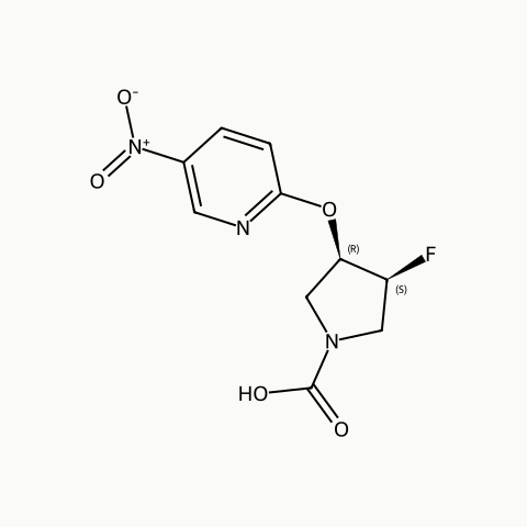 O=C(O)N1C[C@H](F)[C@H](Oc2ccc([N+](=O)[O-])cn2)C1